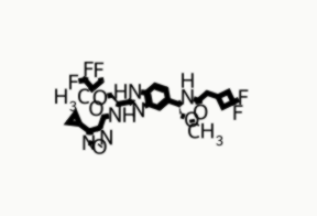 COC[C@@H](NC(=O)CC1CC(F)(F)C1)c1ccc2[nH]c([C@H](COC(C)(CF)C(F)F)NC(=O)c3nonc3C3CC3)nc2c1